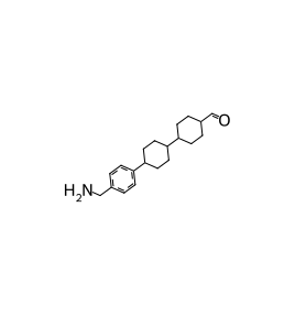 NCc1ccc(C2CCC(C3CCC(C=O)CC3)CC2)cc1